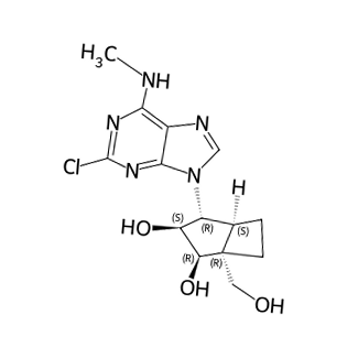 CNc1nc(Cl)nc2c1ncn2[C@H]1[C@H](O)[C@H](O)[C@]2(CO)CC[C@H]12